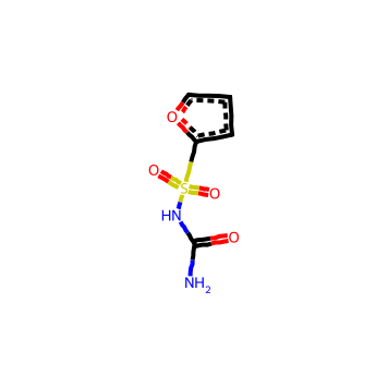 NC(=O)NS(=O)(=O)c1ccco1